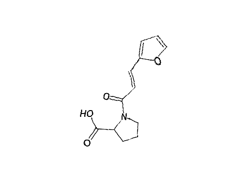 O=C(O)C1CCCN1C(=O)C=Cc1ccco1